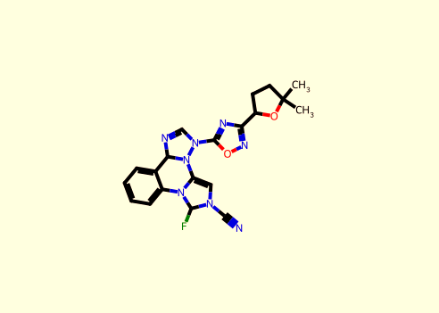 CC1(C)CCC(c2noc(N3C=NC4c5ccccc5N5C(=CN(C#N)C5F)N43)n2)O1